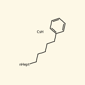 CCCCCCCCCCCCc1ccccc1.[CsH]